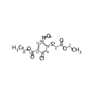 CCOC(=O)CSc1cc(Cl)c(C(=O)OCC)cc1N=O